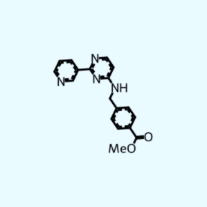 COC(=O)c1ccc(CNc2ccnc(-c3cccnc3)n2)cc1